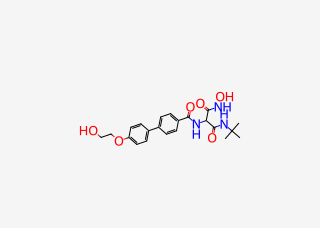 CC(C)(C)NC(=O)C(NC(=O)c1ccc(-c2ccc(OCCO)cc2)cc1)C(=O)NO